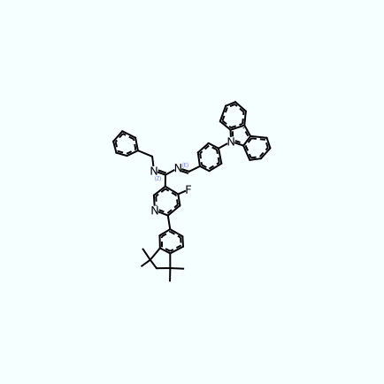 CC1(C)CC(C)(C)c2cc(-c3cc(F)c(C(=N/Cc4ccccc4)/N=C/c4ccc(-n5c6ccccc6c6ccccc65)cc4)cn3)ccc21